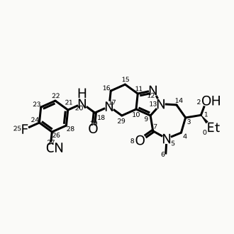 CC[C@H](O)C1CN(C)C(=O)c2c3c(nn2C1)CCN(C(=O)Nc1ccc(F)c(C#N)c1)C3